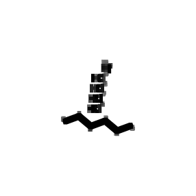 CCCCCC.Cl.Cl.Cl.Cl.[Hf]